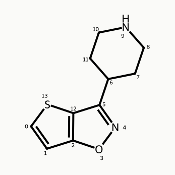 c1cc2onc(C3CCNCC3)c2s1